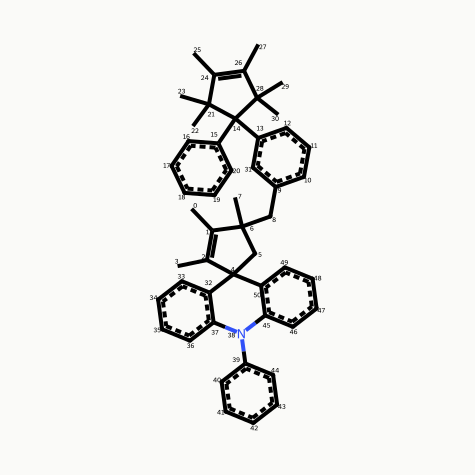 CC1=C(C)C2(CC1(C)Cc1cccc(C3(c4ccccc4)C(C)(C)C(C)=C(C)C3(C)C)c1)c1ccccc1N(c1ccccc1)c1ccccc12